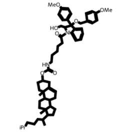 COc1ccc(COC(c2ccccc2)(c2ccc(OC)cc2)C(CO)NC(=O)CCCCCNC(=O)OC2CCC3(C)C(=CCC4C3CCC3(C)C(C(C)CCCC(C)C)CCC43)C2)cc1